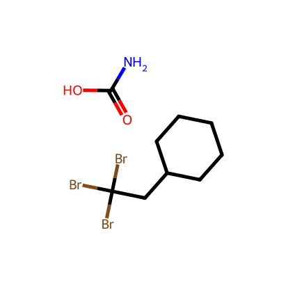 BrC(Br)(Br)CC1CCCCC1.NC(=O)O